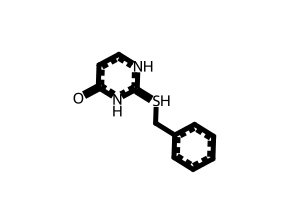 O=c1cc[nH]c(=[SH]Cc2ccccc2)[nH]1